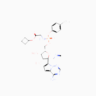 C=NC[C@@]1(c2ccc3c(N)ncnn23)O[C@H](COP(=O)(N[C@@H](C)C(=O)OC2CCC2)Oc2ccc(C(C)(C)C)cc2)[C@@H](O)[C@H]1O